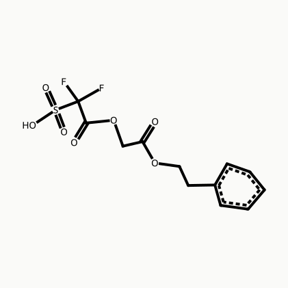 O=C(COC(=O)C(F)(F)S(=O)(=O)O)OCCc1ccccc1